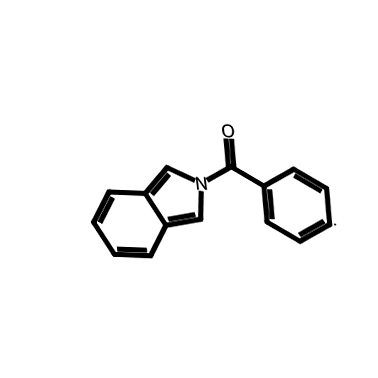 O=C(c1cc[c]cc1)n1cc2ccccc2c1